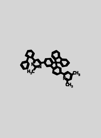 Cc1cc(C)nc(-c2ccc3c(c2)C2(c4ccccc4-c4ccccc42)c2ccc(-c4cc(-c5ccccc5-c5ccccc5)nc(C)n4)cc2-3)c1